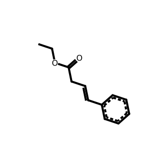 CCOC(=O)CC=Cc1ccccc1